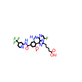 COc1cc(C(=O)Nc2cc(C(F)(F)F)ccn2)cc(F)c1-c1nc(CCCCC(=O)O)n2c(F)cnc(N)c12